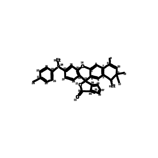 CCC1c2cc3c(cc2C(C)=CC1(C)C)Oc1cc(N(CC)c2ccc(C)cc2)ccc1C31OC(=O)c2ccccc21